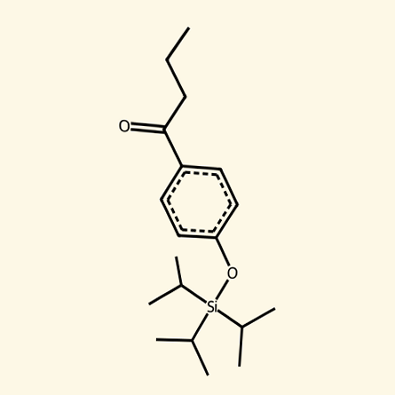 CCCC(=O)c1ccc(O[Si](C(C)C)(C(C)C)C(C)C)cc1